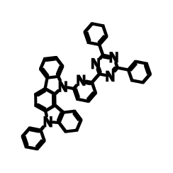 C1=CCCC(c2nc(C3=CCCC=C3)nc(-c3cccc(-n4c5ccccc5c5ccc6c(c7c(n6-c6ccccc6)CCC=C7)c54)n3)n2)=C1